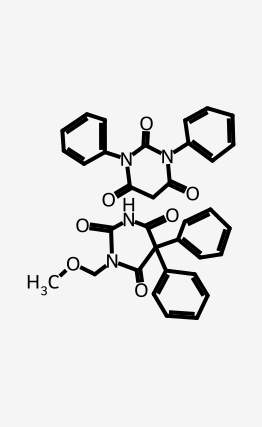 COCN1C(=O)NC(=O)C(c2ccccc2)(c2ccccc2)C1=O.O=C1CC(=O)N(c2ccccc2)C(=O)N1c1ccccc1